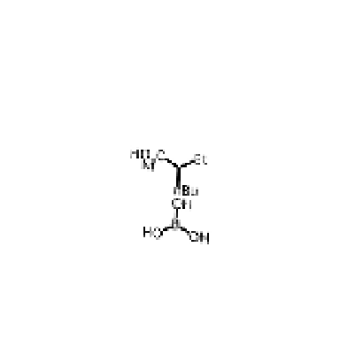 CCCCC(CC)C(=O)O.OB(O)O.[Ni]